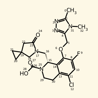 Cc1nnc(COc2c(F)cc(Cl)c3c2[C@@H](CN2CC4(CC4)CC2=O)N(C(=O)O)CC3)n1C